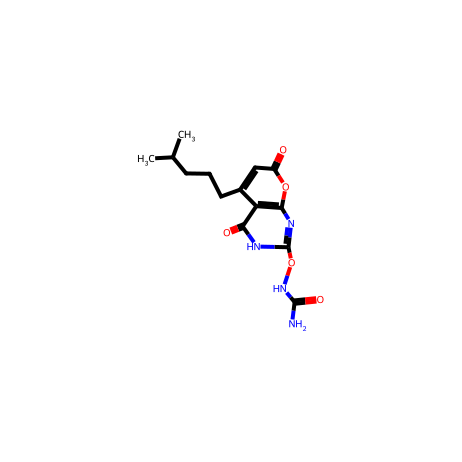 CC(C)CCCc1cc(=O)oc2nc(ONC(N)=O)[nH]c(=O)c12